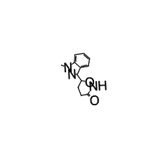 Cn1nc(C2CCC(=O)NO2)c2ccccc21